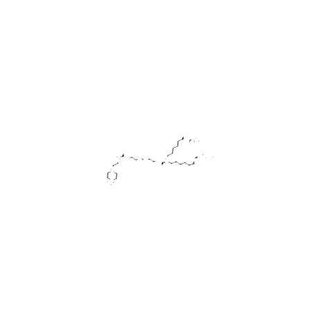 CCCCCCCCCOC(=O)CCCCCN(CCCCCC(=O)OCCCCCCCCC)C(=O)OCCSSCCOC(=O)NCCN1CCN(C)CC1